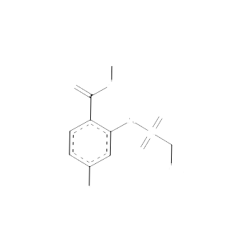 CCS(=O)(=O)Nc1cc(Cl)ccc1C(=O)OC